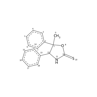 CC1(c2ccccc2)OC(=S)NC1c1ccccc1